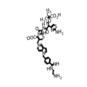 CC(C)(ON=C(C(=O)N[C@@H]1C(=O)N2C(C(=O)[O-])=C(C[n+]3ccc4c(ccn4Cc4ccc(C(=N)NCCN)cc4)c3)CS[C@H]12)c1csc(N)n1)C(=O)O